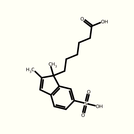 CC1=Cc2ccc(S(=O)(=O)O)cc2C1(C)CCCCCC(=O)O